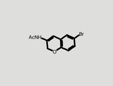 CC(=O)NC1=Cc2cc(Br)ccc2OC1